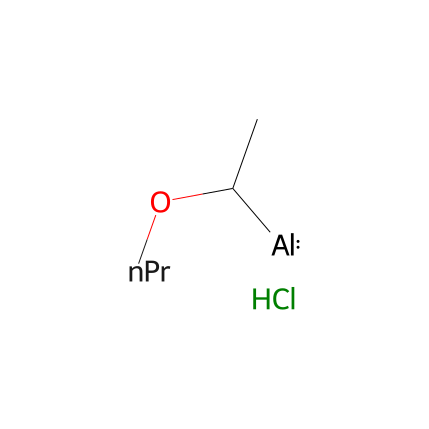 CCCO[CH](C)[Al].Cl